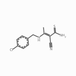 C/C(NCc1ccc(Cl)cc1)=C(/C#N)C(N)=S